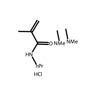 C=C(C)C(=O)NCCC.CNC.CNC.Cl